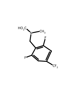 CN(Cc1c(F)cc(C(F)(F)F)cc1F)C(=O)O